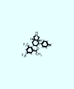 C[C@H](O[C@@H]1CC[C@@H]2CNC[C@@H]2[C@H]1c1ccc(F)cc1)c1cc(C(F)(F)F)cc(C(F)(F)F)c1